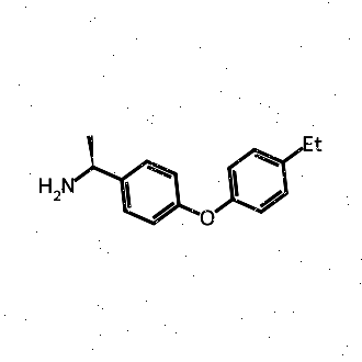 CCc1ccc(Oc2ccc([C@H](C)N)cc2)cc1